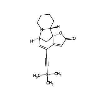 CS(C)(C)C#CC1=C[C@@H]2C[C@@]3(OC(=O)C=C13)[C@H]1CCCCN21